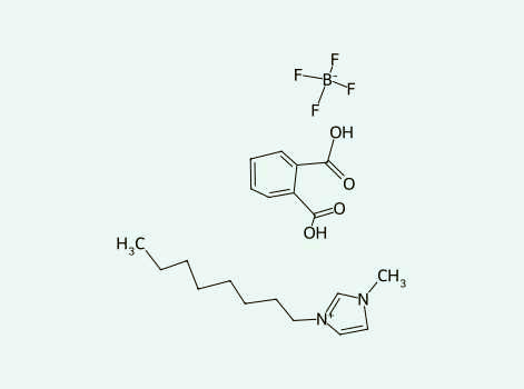 CCCCCCCC[n+]1ccn(C)c1.F[B-](F)(F)F.O=C(O)c1ccccc1C(=O)O